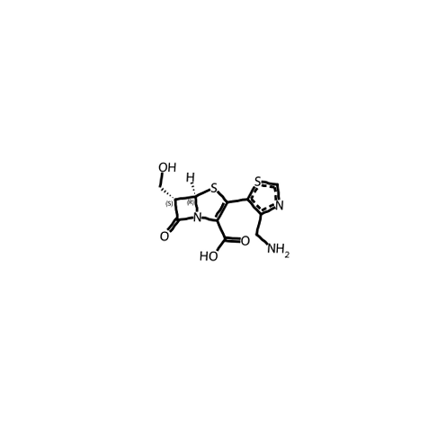 NCc1ncsc1C1=C(C(=O)O)N2C(=O)[C@H](CO)[C@H]2S1